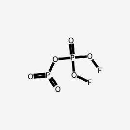 O=P(=O)OP(=O)(OF)OF